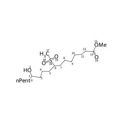 CCCCCC(O)CCCC(CCCCCCC(=O)OC)S(C)(=O)=O